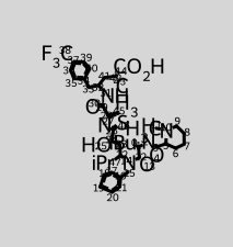 CCC(C)C(NC(=O)C1CCCCN1C)C(=O)N(Cc1ccccc1)C(CC(O)c1nc(C(=O)NC(Cc2ccc(C(F)(F)F)cc2)CC(C)C(=O)O)cs1)C(C)C